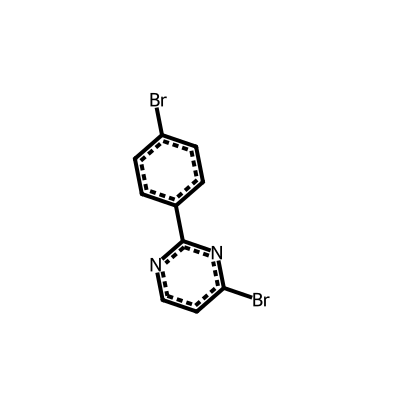 Brc1ccc(-c2nccc(Br)n2)cc1